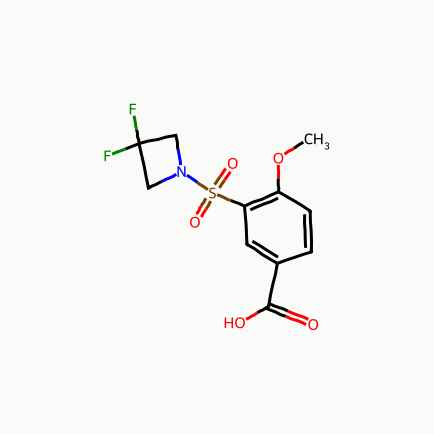 COc1ccc(C(=O)O)cc1S(=O)(=O)N1CC(F)(F)C1